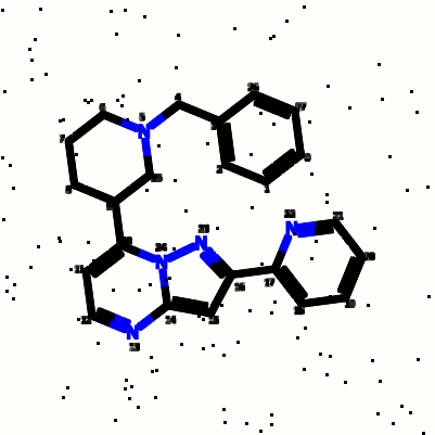 c1ccc(CN2CCCC(c3ccnc4cc(-c5ccccn5)nn34)C2)cc1